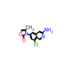 Cc1coc(=O)n1-c1cc(Cl)c2cnc(N)cc2c1